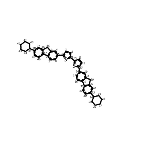 c1cc2c(cc1-c1ccc(-c3ccc(-c4ccc5c(c4)Cc4cc(C6CCCCC6)ccc4-5)s3)s1)Cc1cc(C3CCCCC3)ccc1-2